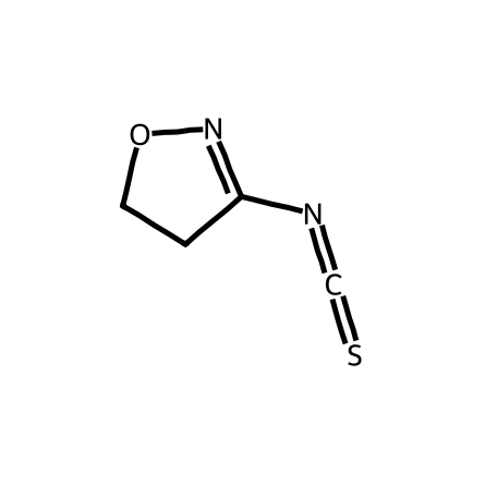 S=C=NC1=NOCC1